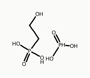 O=P(O)(O)CCO.O=[PH](O)O